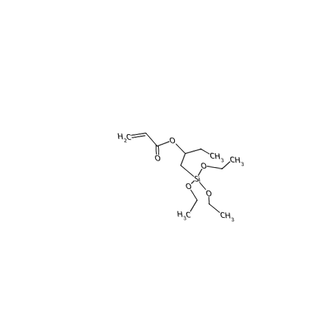 C=CC(=O)OC(CC)C[Si](OCC)(OCC)OCC